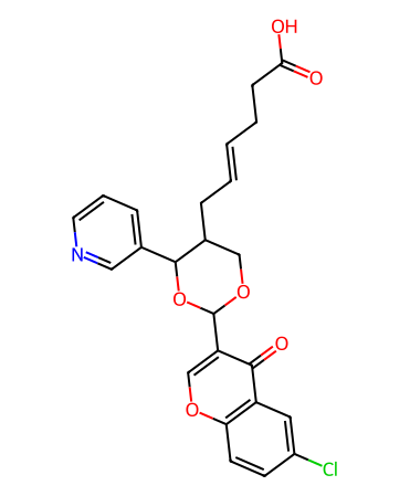 O=C(O)CCC=CCC1COC(c2coc3ccc(Cl)cc3c2=O)OC1c1cccnc1